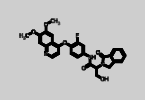 COc1cc2nccc(Oc3ccc(NC(=O)C(CO)N4Cc5ccccc5C4=O)cc3F)c2cc1OC